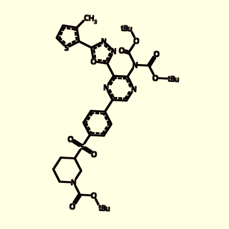 Cc1ccsc1-c1nnc(-c2nc(-c3ccc(S(=O)(=O)C4CCCN(C(=O)OC(C)(C)C)C4)cc3)cnc2N(C(=O)OC(C)(C)C)C(=O)OC(C)(C)C)o1